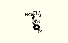 CC(O)CCNCc1ccc(Br)cc1